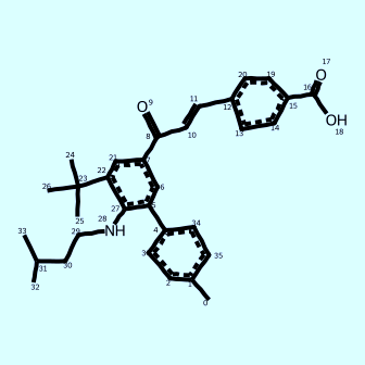 Cc1ccc(-c2cc(C(=O)C=Cc3ccc(C(=O)O)cc3)cc(C(C)(C)C)c2NCCC(C)C)cc1